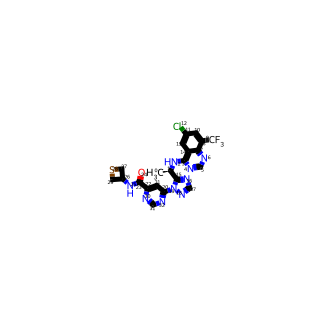 C[C@H](Nc1ncnc2c(C(F)(F)F)cc(Cl)cc12)c1ncnn1-c1cc(C(=O)NC2CSC2)ncn1